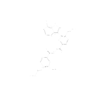 COCc1ccc(C(=O)CNC(=O)c2ccc(OCCO)c(OC)c2)nc1-c1csc2c(F)cccc12